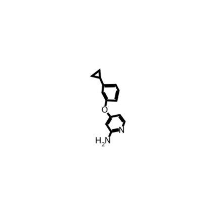 Nc1cc(Oc2cccc(C3CC3)c2)ccn1